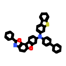 c1ccc(-c2ccc(N(c3ccc4c(c3)oc3ccc5nc(-c6ccccc6)oc5c34)c3ccc4c(c3)sc3ccccc34)cc2)cc1